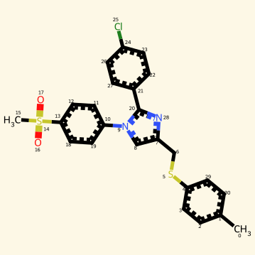 Cc1ccc(SCc2cn(-c3ccc(S(C)(=O)=O)cc3)c(-c3ccc(Cl)cc3)n2)cc1